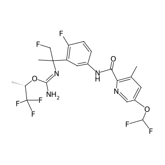 Cc1cc(OC(F)F)cnc1C(=O)Nc1ccc(F)c(C(C)(CF)/N=C(/N)O[C@@H](C)C(F)(F)F)c1